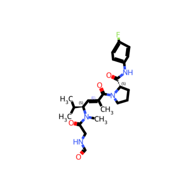 C/C(=C\[C@H](C(C)C)N(C)C(=O)CNC=O)C(=O)N1CCC[C@H]1C(=O)Nc1ccc(F)cc1